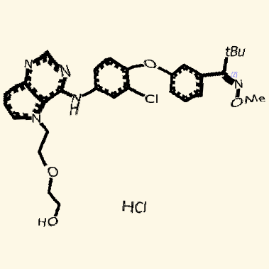 CO/N=C(\c1cccc(Oc2ccc(Nc3ncnc4ccn(CCOCCO)c34)cc2Cl)c1)C(C)(C)C.Cl